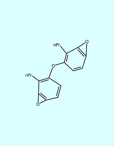 CCCc1c(Oc2ccc3c(c2CCC)O3)ccc2c1O2